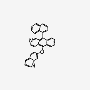 c1cnc2cc(Oc3c4ccccc4c(-c4cccc5ccccc45)c4cnccc34)ccc2c1